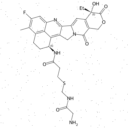 CC[C@@]1(O)C(=O)OCc2c1cc1n(c2=O)Cc2c-1nc1cc(F)c(C)c3c1c2[C@@H](NC(=O)CCSCNC(=O)CN)CC3